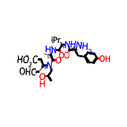 CC(O)CN(C(=O)[C@H](C)NC(=O)[C@@H](NC(=O)[C@@H](N)Cc1ccc(O)cc1)C(C)C)[C@H](CC=O)CC(=O)O